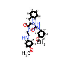 COc1ccc(NCCNC(=O)[C@H](Cc2ccccc2)NC(=O)Nc2cccc(OC)c2)cc1